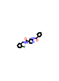 O=C(NCc1ccccc1F)c1ccnc(NC(=O)c2ccccc2)c1